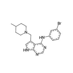 CC1CCN(Cc2c[nH]c3ncnc(Nc4cccc(Br)c4)c23)CC1